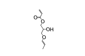 C=CC(=O)OCC(O)COC=CC